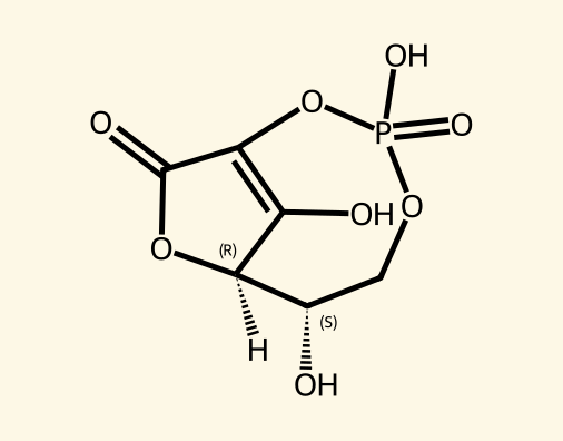 O=C1O[C@H]2C(O)=C1OP(=O)(O)OC[C@@H]2O